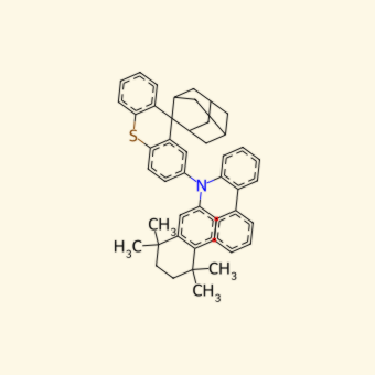 CC1(C)CCC(C)(C)c2cc(N(c3ccc4c(c3)C3(c5ccccc5S4)C4CC5CC(C4)CC3C5)c3ccccc3-c3ccccc3)ccc21